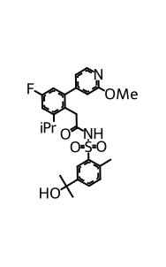 COc1cc(-c2cc(F)cc(C(C)C)c2CC(=O)NS(=O)(=O)c2cc(C(C)(C)O)ccc2C)ccn1